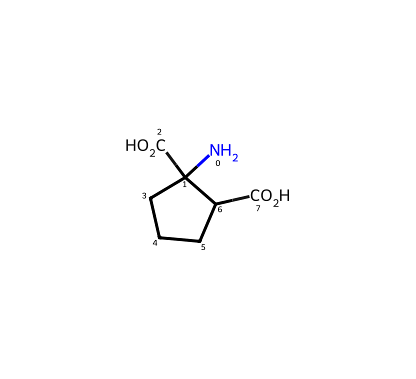 NC1(C(=O)O)CCCC1C(=O)O